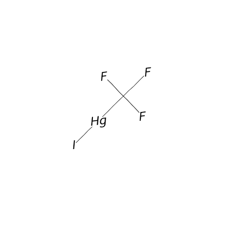 F[C](F)(F)[Hg][I]